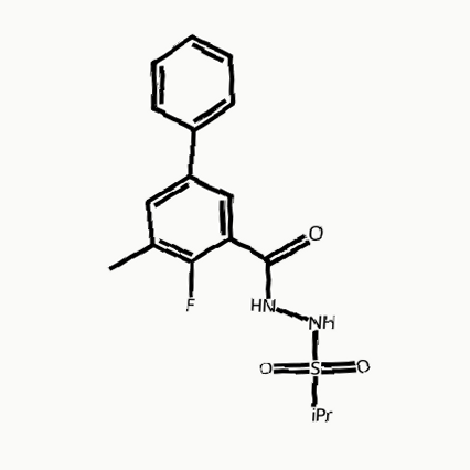 Cc1cc(-c2ccccc2)cc(C(=O)NNS(=O)(=O)C(C)C)c1F